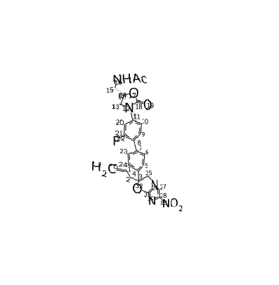 C=CCC1(c2ccc(-c3ccc(N4C[C@H](CNC(C)=O)OC4=O)cc3F)cc2)Cn2cc([N+](=O)[O-])nc2O1